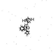 O=c1n(CC[C@@H]2CNCCN2)c2ccccc2n1C1=CCCC1